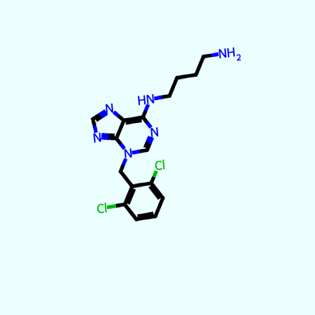 NCCCCNc1ncn(Cc2c(Cl)cccc2Cl)c2ncnc1-2